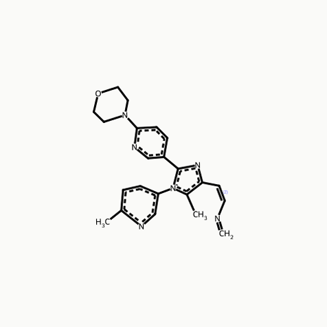 C=N/C=C\c1nc(-c2ccc(N3CCOCC3)nc2)n(-c2ccc(C)nc2)c1C